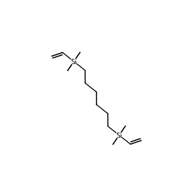 C=C[Si](C)(C)CCCCCC[Si](C)(C)C=C